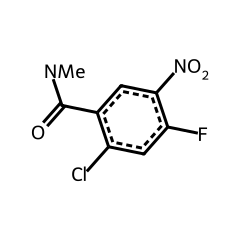 CNC(=O)c1cc([N+](=O)[O-])c(F)cc1Cl